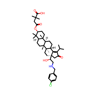 CC(C)C1=C2[C@H]3CC[C@@H]4[C@@]5(C)CC[C@H](OC(=O)CC(C)(C)C(=O)O)C(C)(C)[C@@H]5CC[C@@]4(C)[C@]3(C)CC[C@@]2([C@H](O)CNCc2ccc(Cl)cc2)CC1=O